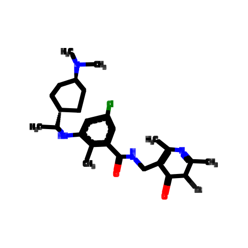 CCC1C(=O)C(CNC(=O)c2cc(Cl)cc(NC(C)[C@H]3CC[C@H](N(C)C)CC3)c2C)=C(C)N=C1C